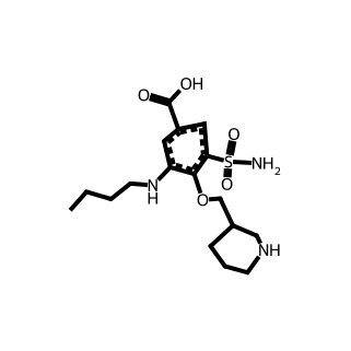 CCCCNc1cc(C(=O)O)cc(S(N)(=O)=O)c1OCC1CCCNC1